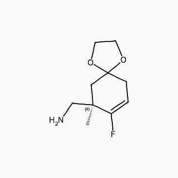 C[C@]1(CN)CC2(CC=C1F)OCCO2